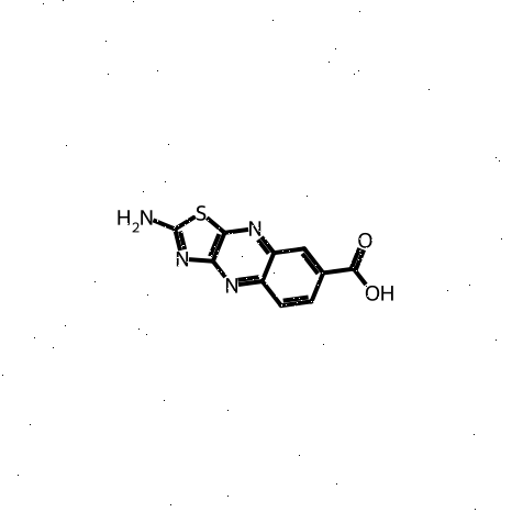 Nc1nc2nc3ccc(C(=O)O)cc3nc2s1